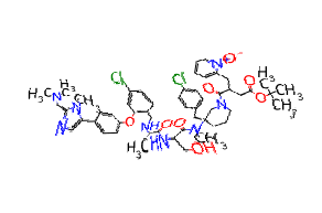 CC(NCc1ccc(Cl)cc1Oc1ccc(-c2cnc(CN(C)C)n2C)cc1)C(=O)NC(CO)C(=O)N(C)[C@@]1(Cc2ccc(Cl)cc2)CCCN(C(=O)C(CC(=O)OC(C)(C)C)Cc2cccc[n+]2[O-])C1